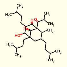 CC(C)CCC1CC2(CCC(C)C)C(=O)C(C(=O)C(C)C)(C(=O)C(CCC(C)C)C2O)C1C